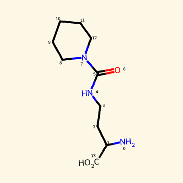 NC(CCNC(=O)N1CCCCC1)C(=O)O